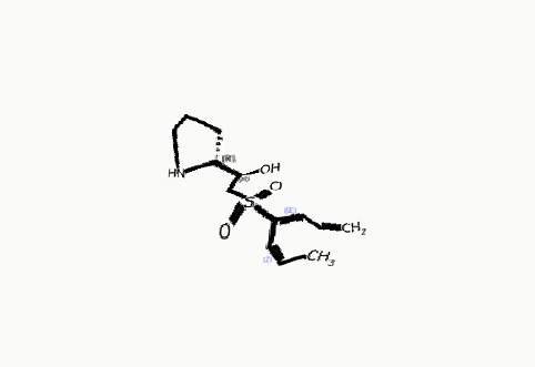 C=C/C=C(\C=C/C)S(=O)(=O)C[C@H](O)[C@H]1CCCN1